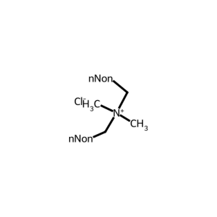 CCCCCCCCCC[N+](C)(C)CCCCCCCCCC.[Cl-]